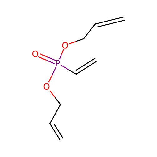 C=CCOP(=O)(C=C)OCC=C